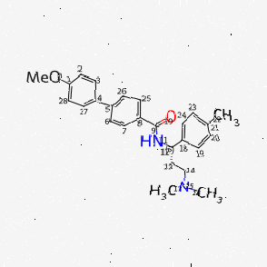 COc1ccc(-c2ccc(C(=O)N[C@@H](CCN(C)C)c3ccc(C)cc3)cc2)cc1